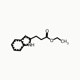 CCOC(=O)CCc1[c]c2ccccc2[nH]1